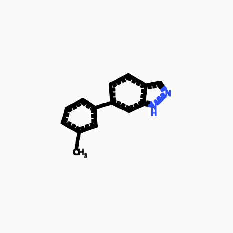 Cc1cccc(-c2ccc3cn[nH]c3c2)c1